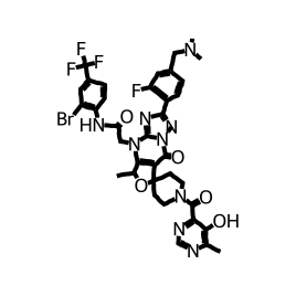 Cc1ncnc(C(=O)N2CCC3(CC2)OC(C)c2c3c(=O)n3nc(-c4ccc(CN(C)C)cc4F)nc3n2CC(=O)Nc2ccc(C(F)(F)F)cc2Br)c1O